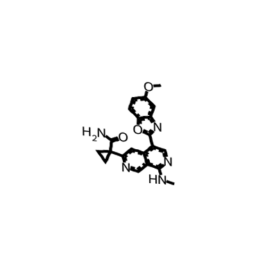 CNc1ncc(-c2nc3cc(OC)ccc3o2)c2cc(C3(C(N)=O)CC3)ncc12